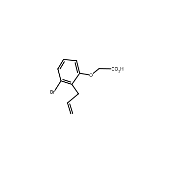 C=CCc1c(Br)cccc1OCC(=O)O